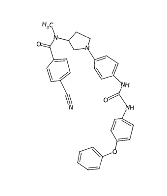 CN(C(=O)c1ccc(C#N)cc1)C1CCN(c2ccc(NC(=O)Nc3ccc(Oc4ccccc4)cc3)cc2)C1